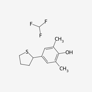 Cc1cc(C2CCCS2)cc(C)c1O.FC(F)F